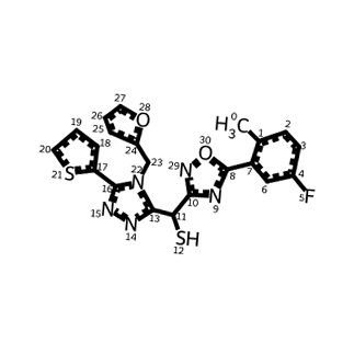 Cc1ccc(F)cc1-c1nc(C(S)c2nnc(-c3cccs3)n2Cc2ccco2)no1